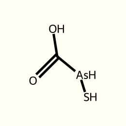 O=C(O)[AsH]S